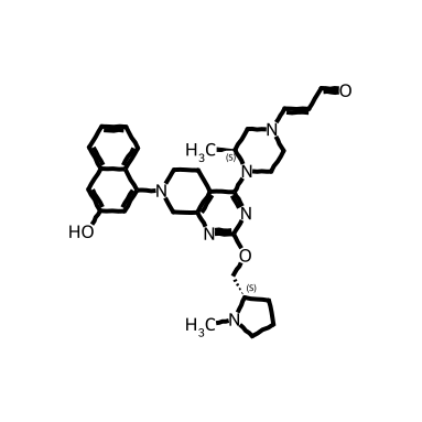 C[C@H]1CN(C=CC=O)CCN1c1nc(OC[C@@H]2CCCN2C)nc2c1CCN(c1cc(O)cc3ccccc13)C2